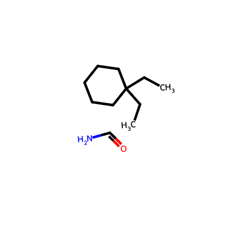 CCC1(CC)CCCCC1.NC=O